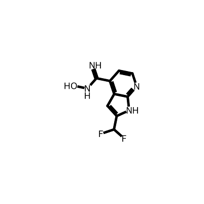 N=C(NO)c1ccnc2[nH]c(C(F)F)cc12